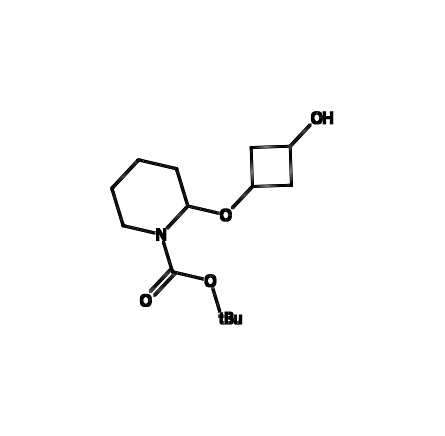 CC(C)(C)OC(=O)N1CCCCC1OC1CC(O)C1